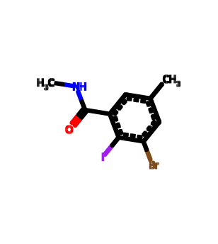 CNC(=O)c1cc(C)cc(Br)c1I